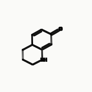 O=C1C=CC2CCCNC2=C1